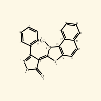 CN1/C(=C2/C(=O)ON=C2c2ccccc2)Sc2ccc3ccccc3c21